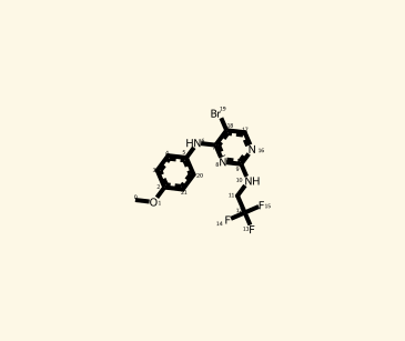 COc1ccc(Nc2nc(NCC(F)(F)F)ncc2Br)cc1